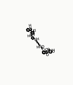 O=C(COc1cccc2c1C(=O)N(C1CCC(=O)NC1=O)C2=O)NCCCCCCN[C@H]1CC[C@@H](Nc2ncc(Cl)c(-c3c[nH]c4ccccc34)n2)C1